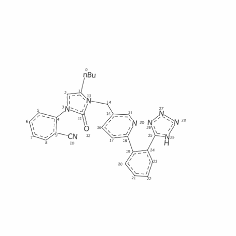 CCCCc1cn(-c2ccccc2C#N)c(=O)n1Cc1ccc(-c2ccccc2-c2nnn[nH]2)nc1